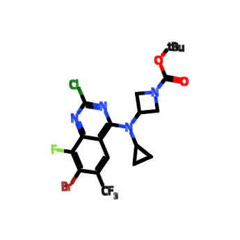 CC(C)(C)OC(=O)N1CC(N(c2nc(Cl)nc3c(F)c(Br)c(C(F)(F)F)cc23)C2CC2)C1